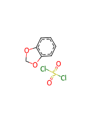 O=S(=O)(Cl)Cl.c1ccc2c(c1)OCO2